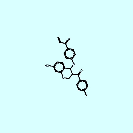 C=CC(=O)c1ccc(OC2c3ccc(O)cc3OCC2C(=O)c2ccc(C)cc2)cc1